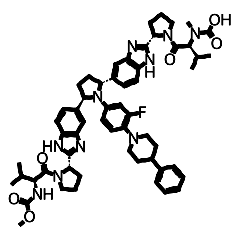 COC(=O)N[C@H](C(=O)N1CCC[C@H]1c1nc2cc([C@H]3CC[C@H](c4ccc5[nH]c([C@@H]6CCCN6C(=O)[C@H](C(C)C)N(C)C(=O)O)nc5c4)N3c3ccc(N4CCC(c5ccccc5)CC4)c(F)c3)ccc2[nH]1)C(C)C